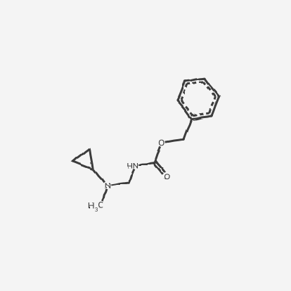 CN(CNC(=O)OCc1ccccc1)C1CC1